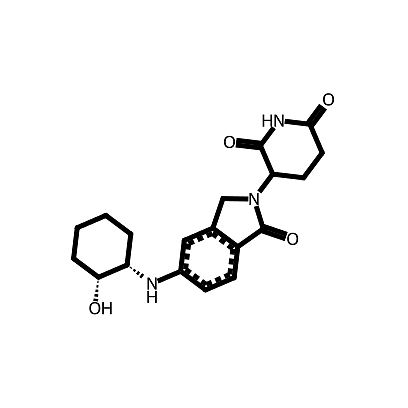 O=C1CCC(N2Cc3cc(N[C@H]4CCCC[C@H]4O)ccc3C2=O)C(=O)N1